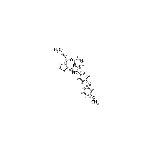 CC#CC(=O)N1CCCC1c1nc(-c2ccc(Oc3cccc(OC)c3)cc2)c2cnccn12